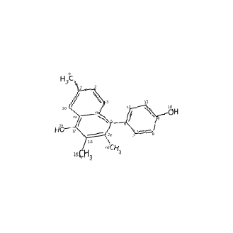 Cc1ccc2c(-c3ccc(O)cc3)c(C)c(C)c(O)c2c1